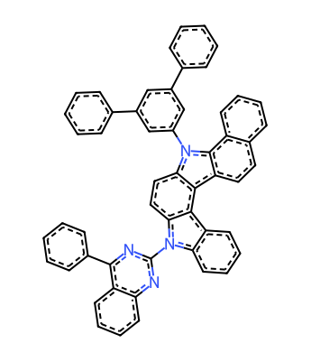 c1ccc(-c2cc(-c3ccccc3)cc(-n3c4ccc5c(c6ccccc6n5-c5nc(-c6ccccc6)c6ccccc6n5)c4c4ccc5ccccc5c43)c2)cc1